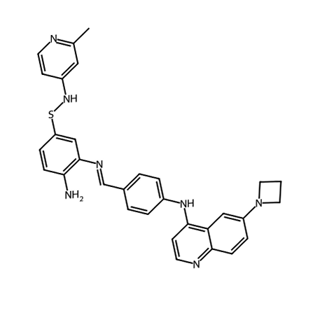 Cc1cc(NSc2ccc(N)c(/N=C/c3ccc(Nc4ccnc5ccc(N6CCC6)cc45)cc3)c2)ccn1